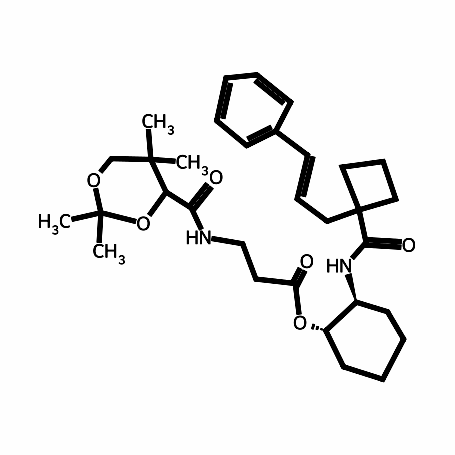 CC1(C)OCC(C)(C)C(C(=O)NCCC(=O)O[C@H]2CCCC[C@@H]2NC(=O)C2(CC=Cc3ccccc3)CCC2)O1